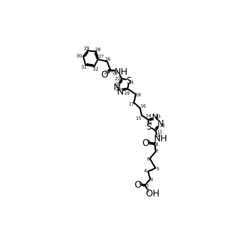 O=C(O)CCCCCC(=O)Nc1nnc(CCCCc2nnc(NC(=O)Cc3ccccc3)s2)s1